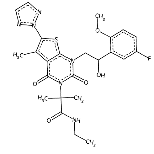 CCNC(=O)C(C)(C)n1c(=O)c2c(C)c(-n3nccn3)sc2n(CC(O)c2cc(F)ccc2OC)c1=O